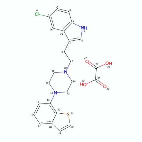 Clc1ccc2[nH]cc(CCN3CCN(c4cccc5ccsc45)CC3)c2c1.O=C(O)C(=O)O